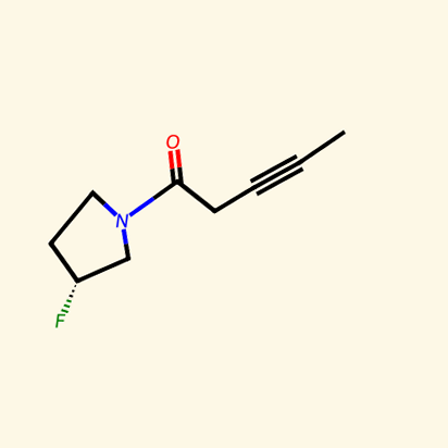 CC#CCC(=O)N1CC[C@@H](F)C1